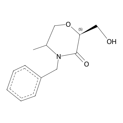 CC1CO[C@@H](CO)C(=O)N1Cc1ccccc1